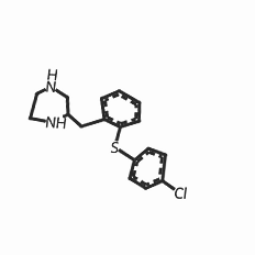 Clc1ccc(Sc2ccccc2CC2CNCCN2)cc1